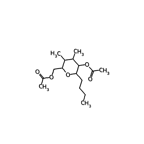 CCCCC1OC(COC(C)=O)C(C)C(C)C1OC(C)=O